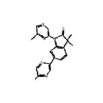 Cc1cnc(-c2ccc3c(c2)N(c2cncc(C)n2)C(=O)C3(C)C)cn1